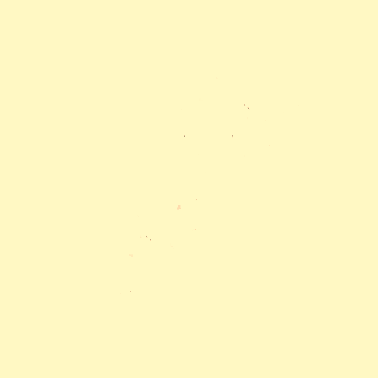 CCC(CC)N1CCC(O)(COc2ccc(F)c3c2CCC(=O)N3)CC1